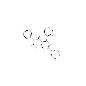 CC(C)N(C(=O)c1cnc(N2CCNCC2)nc1C1=C(F)CCC=C1)c1ccccc1